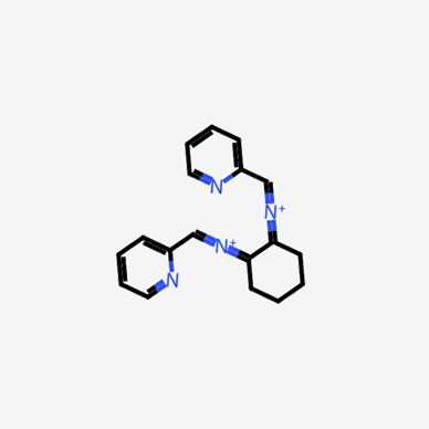 C(=[N+]=C1CCCCC1=[N+]=Cc1ccccn1)c1ccccn1